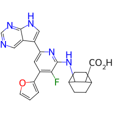 O=C(O)C1C2CCC(CC2)C1Nc1nc(-c2c[nH]c3ncncc23)cc(-c2ccco2)c1F